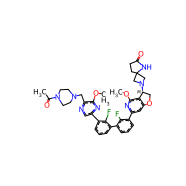 COc1nc(-c2cccc(-c3cccc(-c4cc5c(c(OC)n4)[C@@H](N4CC6(CCC(=O)N6)C4)CO5)c3F)c2F)cnc1CN1CCN(C(C)=O)CC1